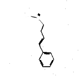 O=[PH](O)CCC=Cc1ccccc1